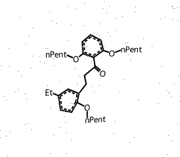 CCCCCOc1ccc(CC)cc1CCC(=O)c1c(OCCCCC)cccc1OCCCCC